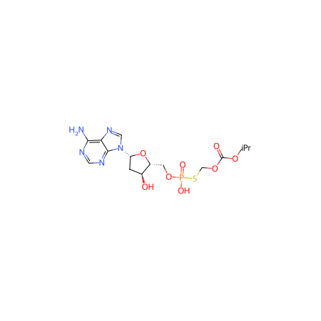 CC(C)OC(=O)OCSP(=O)(O)OC[C@H]1O[C@@H](n2cnc3c(N)ncnc32)C[C@@H]1O